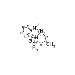 CC1CC[C@H]2C3CN3c3ccccc3C(=O)N2C(C)C1